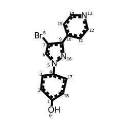 Oc1ccc(-n2cc(Br)c(-c3ccncc3)n2)cc1